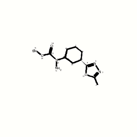 Cc1nnc([C@H]2CCCC(N(N)C(=O)OC(C)(C)C)C2)o1